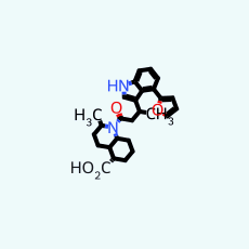 CC(CC(=O)N1C(C)CCC2C(C(=O)O)CCCC21)c1c[nH]c2cccc(-c3ccco3)c12